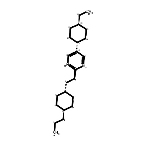 CCC[C@H]1CC[C@H](CCc2ncc([C@H]3CC[C@H](CC)CC3)cn2)CC1